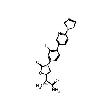 C[C@H](C(N)=O)C1CN(c2ccc(-c3ccc(N4CC=CC4)nc3)c(F)c2)C(=O)O1